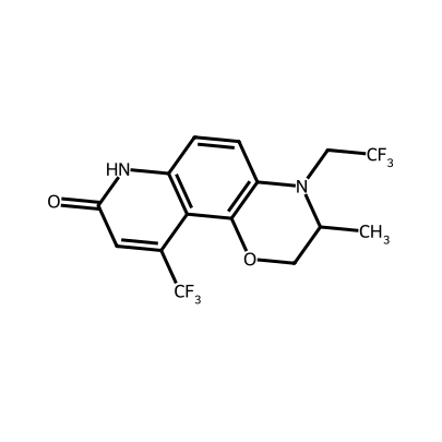 CC1COc2c(ccc3[nH]c(=O)cc(C(F)(F)F)c23)N1CC(F)(F)F